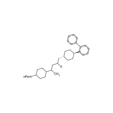 CCCCCC1CCC(C(C)CC(F)C[C@H]2CC[C@H](c3ccccc3-c3ccccc3)CC2)CC1